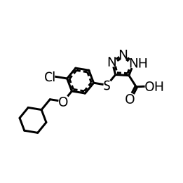 O=C(O)c1[nH]nnc1Sc1ccc(Cl)c(OCC2CCCCC2)c1